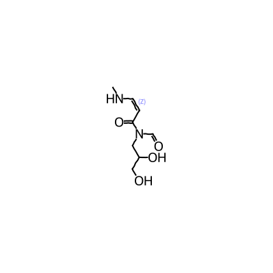 CN/C=C\C(=O)N(C=O)CC(O)CO